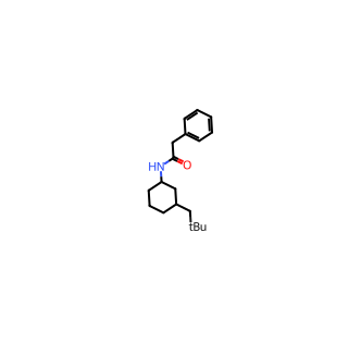 CC(C)(C)CC1CCCC(NC(=O)Cc2ccccc2)C1